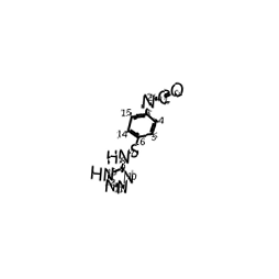 O=C=Nc1ccc(SNc2nnn[nH]2)cc1